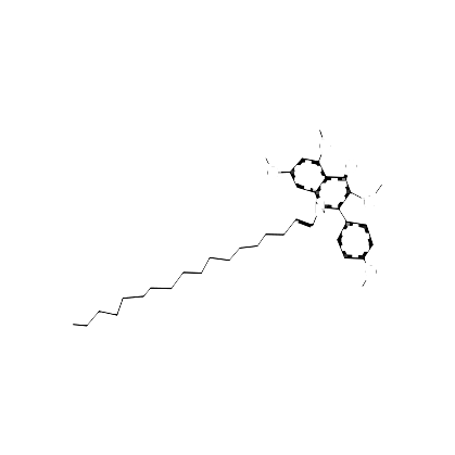 CCCCCCCCCCCCCCCCC=Cn1c(-c2ccc(OC)cc2)c(OC)c(=O)c2c(OC)cc(OC)cc21